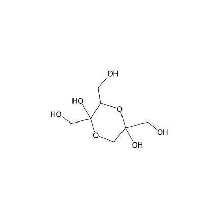 OCC1OC(O)(CO)COC1(O)CO